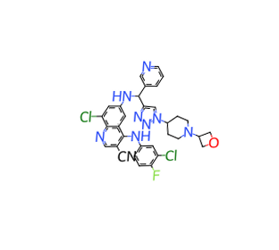 N#Cc1cnc2c(Cl)cc(NC(c3cccnc3)c3cn(C4CCN(C5COC5)CC4)nn3)cc2c1Nc1ccc(F)c(Cl)c1